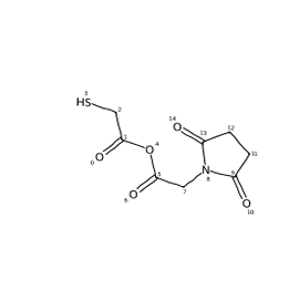 O=C(CS)OC(=O)CN1C(=O)CCC1=O